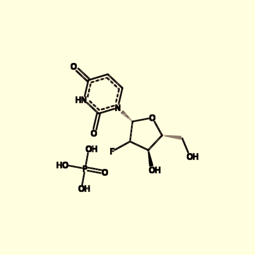 O=P(O)(O)O.O=c1ccn([C@@H]2O[C@H](CO)[C@@H](O)C2F)c(=O)[nH]1